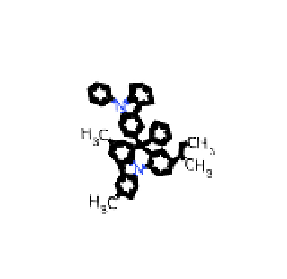 CCC(C)c1ccc2c(c1)C(c1ccccc1)(c1ccc3c(c1)c1ccccc1n3-c1ccccc1)c1cc(C)cc3c4cc(C)ccc4n-2c13